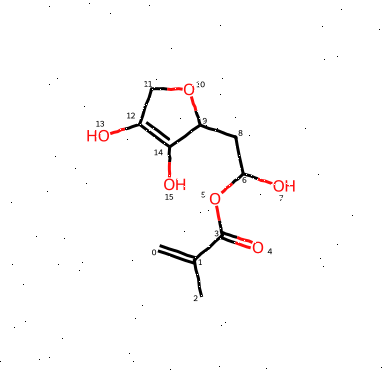 C=C(C)C(=O)OC(O)CC1OCC(O)=C1O